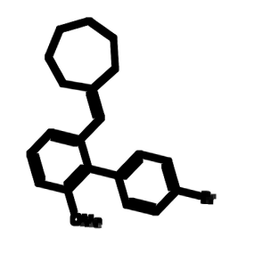 COc1cccc(C=C2CCCCCC2)c1-c1ccc(Br)cc1